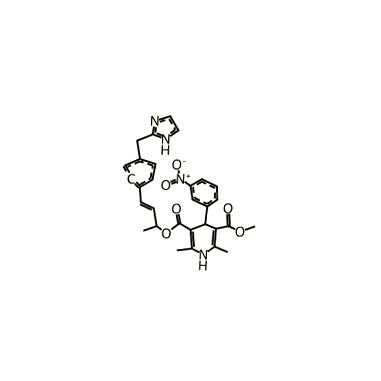 COC(=O)C1=C(C)NC(C)=C(C(=O)OC(C)C=Cc2ccc(Cc3ncc[nH]3)cc2)C1c1cccc([N+](=O)[O-])c1